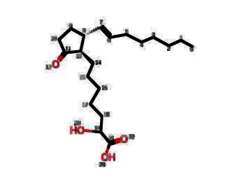 CCCCCCC=C[C@H]1CCC(=O)[C@@H]1CCCCCC(O)C(=O)O